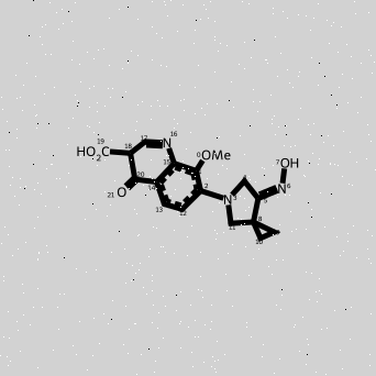 COc1c(N2CC(=NO)C3(CC3)C2)ccc2c1N=CC(C(=O)O)C2=O